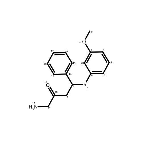 COc1cccc(SC(CC(=O)CN)c2ccccc2)c1